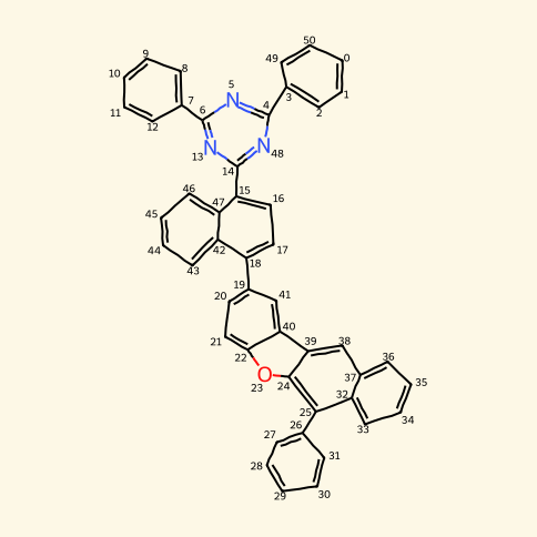 c1ccc(-c2nc(-c3ccccc3)nc(-c3ccc(-c4ccc5oc6c(-c7ccccc7)c7ccccc7cc6c5c4)c4ccccc34)n2)cc1